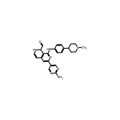 CN1CCC(c2ccc(Nc3nc(-c4cnc(N)nc4)cc4c3C(C=O)NC=C4)cc2)CC1